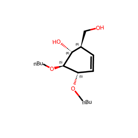 CCCCO[C@H]1[C@H](O)[C@@H](CO)C=C[C@@H]1OCCCC